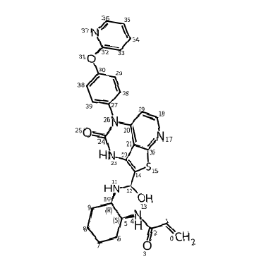 C=CC(=O)N[C@H]1CCCC[C@H]1NC(O)c1sc2nccc3c2c1NC(=O)N3c1ccc(Oc2ccccn2)cc1